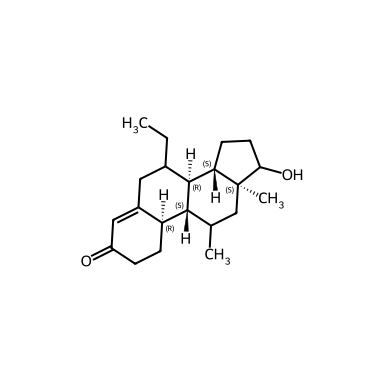 CCC1CC2=CC(=O)CC[C@@H]2[C@H]2C(C)C[C@]3(C)C(O)CC[C@H]3[C@H]12